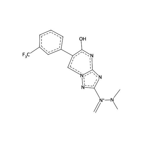 C=[N+](c1nc2nc(O)c(-c3cccc(C(F)(F)F)c3)cn2n1)N(C)C